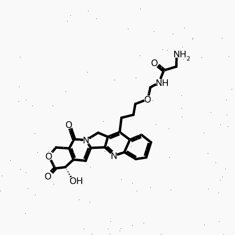 NCC(=O)NCOCCCc1c2c(nc3ccccc13)-c1cc3c(c(=O)n1C2)COC(=O)[C@H]3O